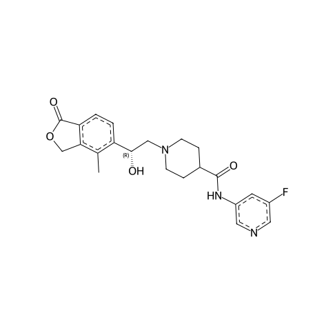 Cc1c([C@@H](O)CN2CCC(C(=O)Nc3cncc(F)c3)CC2)ccc2c1COC2=O